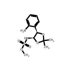 COS(=O)(=O)N[C@@H]1OC(C)(C)O[C@@H]1c1ccccc1N